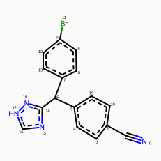 N#Cc1ccc(C(c2ccc(Br)cc2)c2nc[nH]n2)cc1